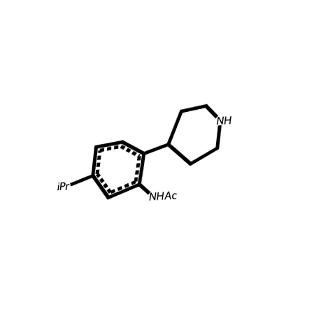 CC(=O)Nc1cc(C(C)C)ccc1C1CCNCC1